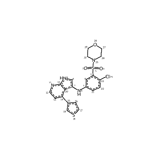 O=S(=O)(c1cc(Nc2c[nH]c3nccc(-c4ccsc4)c23)ccc1Cl)N1CCOCC1